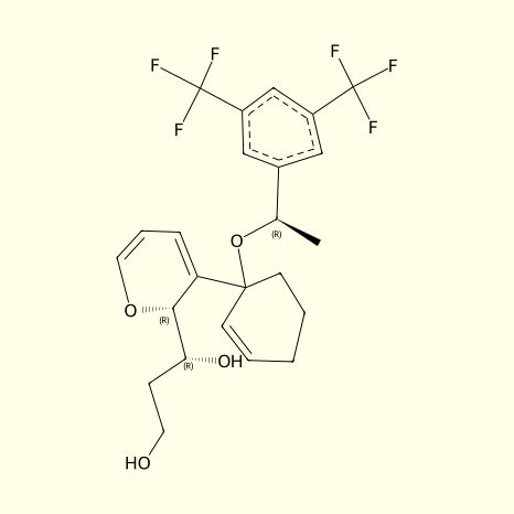 C[C@@H](OC1(C2=CC=CO[C@H]2[C@H](O)CCO)C=CCCC1)c1cc(C(F)(F)F)cc(C(F)(F)F)c1